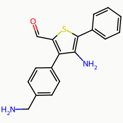 NCc1ccc(-c2c(C=O)sc(-c3ccccc3)c2N)cc1